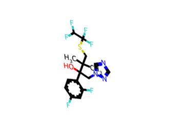 CC(C)(CSC(F)(F)C(F)F)C(O)(Cn1cncn1)c1ccc(F)cc1F